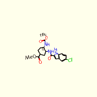 COC(=O)C1CC[C@H](NC(=O)OC(C)(C)C)C(NC(=O)c2cc3cc(Cl)ccc3[nH]2)C1